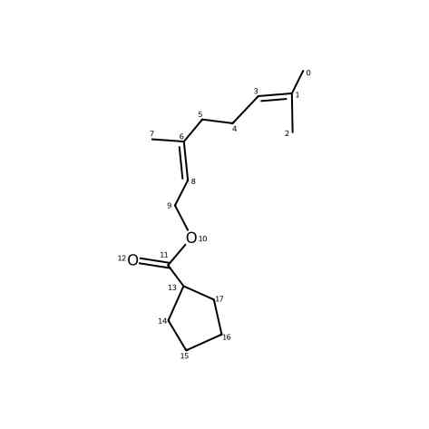 CC(C)=CCC/C(C)=C/COC(=O)C1CCCC1